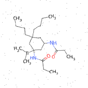 CCCCC1(CCCC)CC(NC(=O)CC)C[C](NC(=O)CC)([Ti]([CH3])[CH3])C1